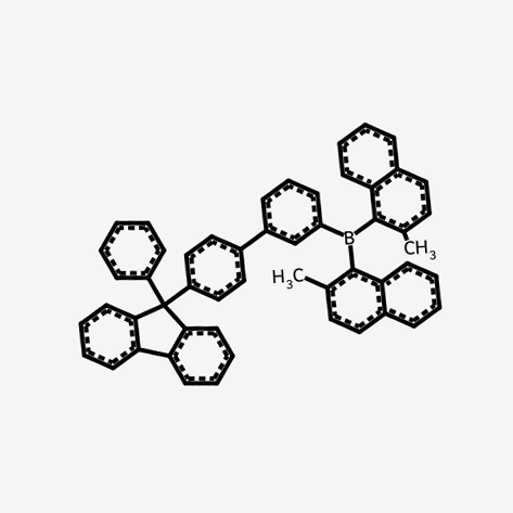 Cc1ccc2ccccc2c1B(c1cccc(-c2ccc(C3(c4ccccc4)c4ccccc4-c4ccccc43)cc2)c1)c1c(C)ccc2ccccc12